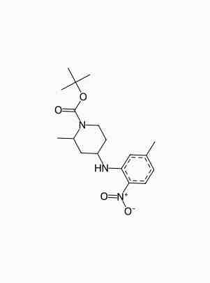 Cc1ccc([N+](=O)[O-])c(NC2CCN(C(=O)OC(C)(C)C)C(C)C2)c1